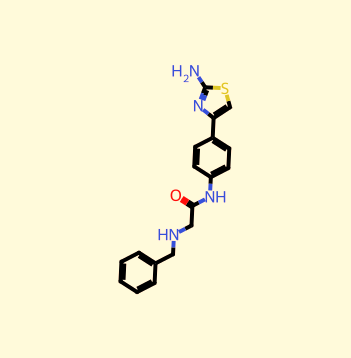 Nc1nc(-c2ccc(NC(=O)CNCc3ccccc3)cc2)cs1